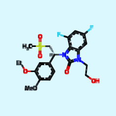 CCOc1cc([C@H](CS(C)(=O)=O)n2c(=O)n(CCO)c3cc(F)cc(F)c32)ccc1OC